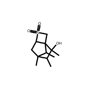 CC1C2(C)CC3C(CS3(=O)=O)(C2C)C1(C)O